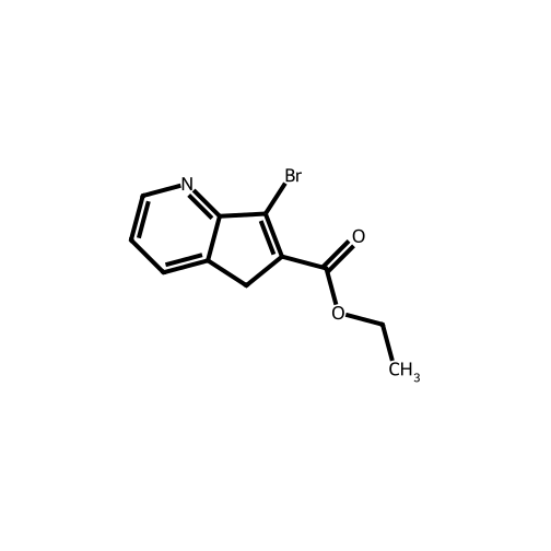 CCOC(=O)C1=C(Br)c2ncccc2C1